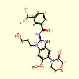 CC(C)Oc1cc2c(cc1N1CCOCC1=O)[nH]/c(=N\C(=O)c1cccc(C(F)F)c1)n2CCCO